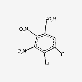 O=C(O)c1cc(F)c(Cl)c([N+](=O)[O-])c1[N+](=O)[O-]